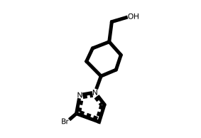 OCC1CCC(n2ccc(Br)n2)CC1